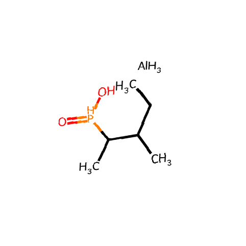 CCC(C)C(C)[PH](=O)O.[AlH3]